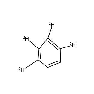 [2H]c1ccc([2H])c([2H])c1[2H]